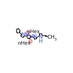 CC#Cc1ccc(-c2ccc(-c3cc(OCCCCCC)c(-c4ccc(-c5ccccc5)[nH]4)cc3OCCCCCC)[nH]2)[nH]1